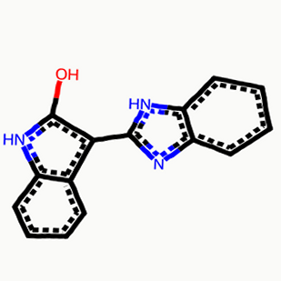 Oc1[nH]c2ccccc2c1-c1nc2ccccc2[nH]1